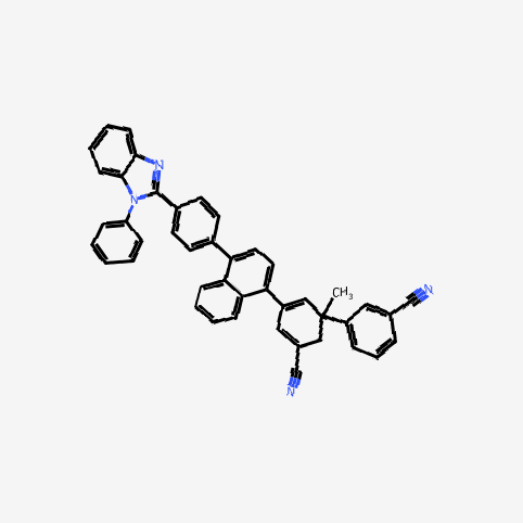 CC1(c2cccc(C#N)c2)C=C(c2ccc(-c3ccc(-c4nc5ccccc5n4-c4ccccc4)cc3)c3ccccc23)C=C(C#N)C1